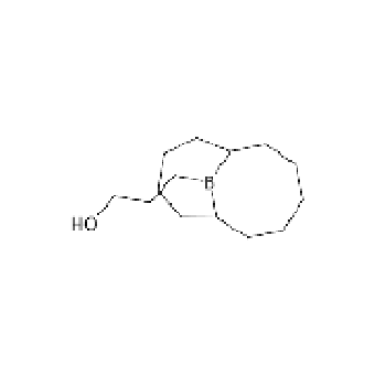 OCCCB1C2CCCCCC1CCCC2